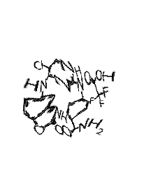 NC(=O)c1ccc(Nc2ncc(Cl)c(Nc3ccc4oc(=O)[nH]c4c3)n2)cc1.O=C(O)C(F)(F)F